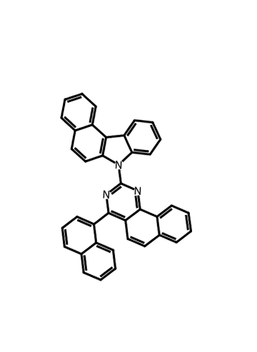 c1ccc2c(-c3nc(-n4c5ccccc5c5c6ccccc6ccc54)nc4c3ccc3ccccc34)cccc2c1